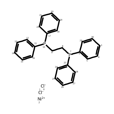 [Cl-].[Cl-].[Ni+2].c1ccc(P(CCP(c2ccccc2)c2ccccc2)c2ccccc2)cc1